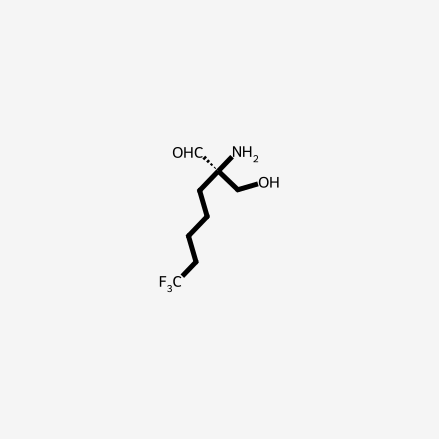 N[C@@](C=O)(CO)CCCCC(F)(F)F